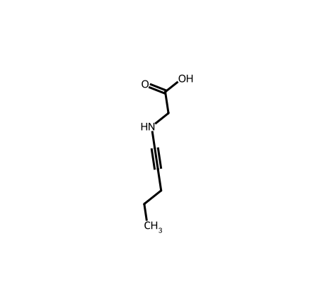 CCCC#CNCC(=O)O